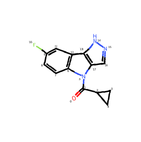 O=C(C1CC1)n1c2ccc(F)cc2c2[nH]ncc21